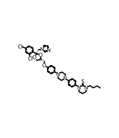 CCCCN1CCCN(c2ccc(N3CCN(c4ccc(OC[C@@H]5CO[C@@](Cn6ccnc6)(c6ccc(Cl)cc6Cl)O5)cc4)CC3)cc2)C1=S